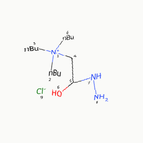 CCCC[N+](CCCC)(CCCC)CC(O)NN.[Cl-]